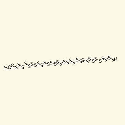 OOSSSSSSSSSSSSSSSSSSSSSSSSSSSSSSS